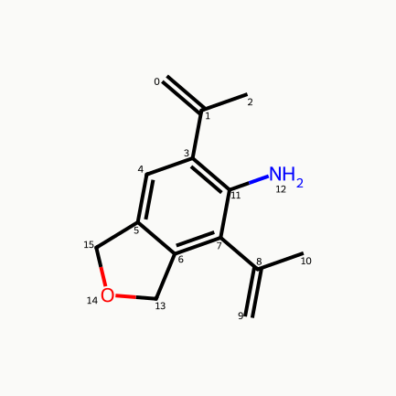 C=C(C)c1cc2c(c(C(=C)C)c1N)COC2